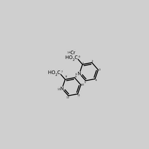 O=C(O)c1ccccn1.O=C(O)c1ccccn1.[Cr]